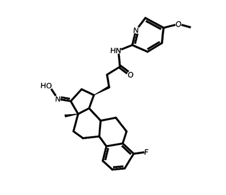 COc1ccc(NC(=O)CC[C@@H]2C/C(=N\O)[C@@]3(C)CCC4c5cccc(F)c5CCC4C23)nc1